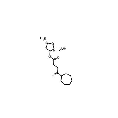 B[C@H]1CC(OC(=O)CCC(=O)C2CCCCCC2)[C@@H](CO)O1